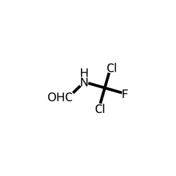 O=CNC(F)(Cl)Cl